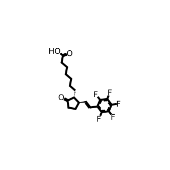 O=C(O)CCCCCC[C@H]1C(=O)CC[C@@H]1C=Cc1c(F)c(F)c(F)c(F)c1F